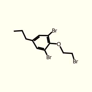 CCCc1cc(Br)c(OCCBr)c(Br)c1